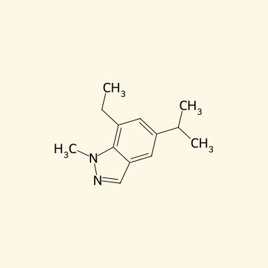 CCc1cc(C(C)C)cc2cnn(C)c12